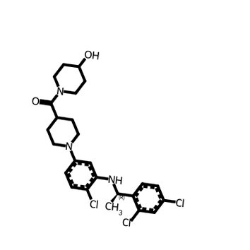 C[C@@H](Nc1cc(N2CCC(C(=O)N3CCC(O)CC3)CC2)ccc1Cl)c1ccc(Cl)cc1Cl